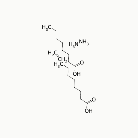 C=C.CCCCCCCC(=O)O.CCCCCCCC(=O)O.N.N